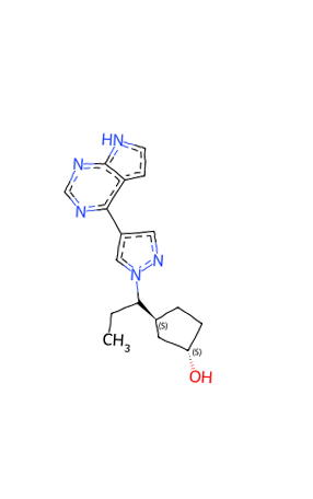 CCC([C@H]1CC[C@H](O)C1)n1cc(-c2ncnc3[nH]ccc23)cn1